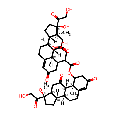 C[C@]12CC(=O)[C@H]3[C@@H](CCC4=CC(=O)CC(OC(=O)C(CC(=O)O)C5CC(=O)C=C6CC[C@H]7[C@@H]8CC[C@](O)(C(=O)CO)[C@@]8(C)CC(=O)[C@@H]7[C@]65C)[C@@]43C)[C@@H]1CC[C@]2(O)C(=O)CO